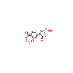 O=C1CCCOc2cc(N3C[C@H](CO)OC3=O)ccc21